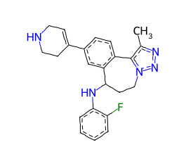 Cc1nnn2c1-c1ccc(C3=CCNCC3)cc1C(Nc1ccccc1F)CC2